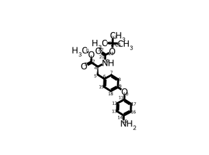 COC(=O)[C@H](Cc1ccc(Oc2ccc(N)cc2)cc1)NC(=O)OC(C)(C)C